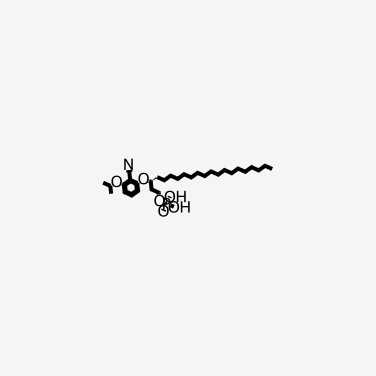 CCCCCCCCCCCCCCCCCC[C@H](CCOP(=O)(O)O)Oc1cccc(OC(C)C)c1C#N